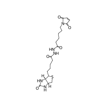 O=C(CCCCCN1C(=O)C=CC1=O)NNC(=O)CCCCC1SC[C@@H]2NC(=O)N[C@H]12